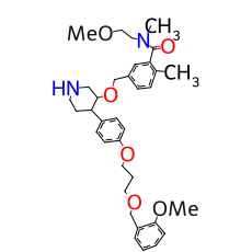 COCCN(C)C(=O)c1cc(COC2CNCCC2c2ccc(OCCCOCc3ccccc3OC)cc2)ccc1C